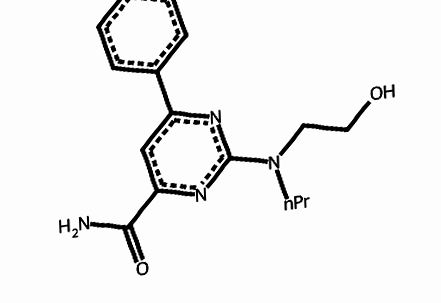 CCCN(CCO)c1nc(C(N)=O)cc(-c2ccccc2)n1